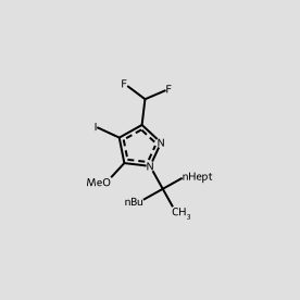 CCCCCCCC(C)(CCCC)n1nc(C(F)F)c(I)c1OC